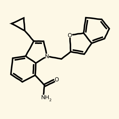 NC(=O)c1cccc2c(C3[CH]C3)cn(Cc3cc4ccccc4o3)c12